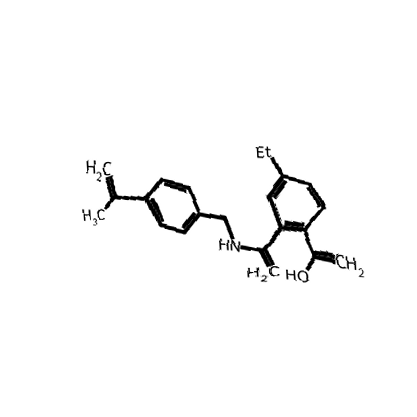 C=C(C)c1ccc(CNC(=C)c2cc(CC)ccc2C(=C)O)cc1